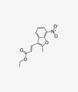 CCOC(=O)/C=C/c1c(C)oc2c([N+](=O)[O-])cccc12